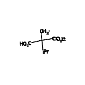 [CH2]C(C(=O)O)(C(=O)OCC)C(C)C